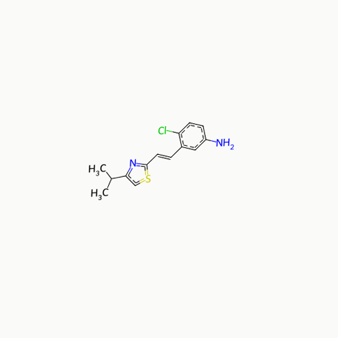 CC(C)c1csc(C=Cc2cc(N)ccc2Cl)n1